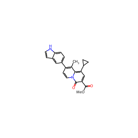 COC(=O)c1cc(C2CC2)c2c(C)c(-c3ccc4[nH]ccc4c3)ccn2c1=O